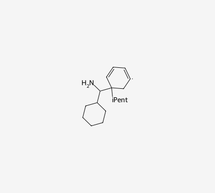 CCCC(C)C1(C(N)C2CCCCC2)C=CC=[C]C1